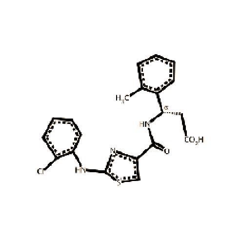 Cc1ccccc1[C@H](CC(=O)O)NC(=O)c1csc(Nc2ccccc2Cl)n1